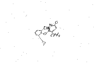 Cc1cc(Cl)nnc1Oc1c(C)cccc1C1CC1